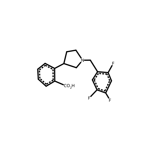 O=C(O)c1ccccc1C1CCN(Cc2cc(F)c(F)cc2F)C1